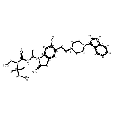 CC(C)CN(C(=O)OC(C)N1C(=O)Cc2cc(CCN3CCN(c4nsc5ccccc45)CC3)c(Cl)cc21)C(C)(C)CC(C)C